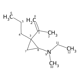 C=C(C)C1(CCC)CC1N(C)CC